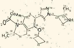 COC(=O)N1c2ccc(-c3cnn(C4CN[C@H]4C)c3)c(OC3CCC3)c2CC[C@@H]1C